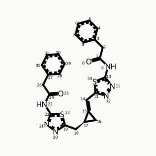 O=C(Cc1ccccc1)Nc1nnc(/C=C2\C[C@H]2Cc2nnc(NC(=O)Cc3ccccc3)s2)s1